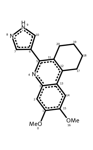 COc1cc2nc(-c3cn[nH]c3)c3c(c2cc1OC)CCCC3